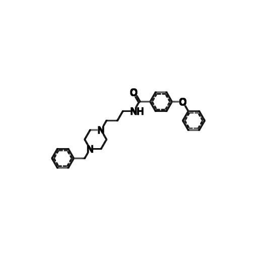 O=C(NCCCN1CCN(Cc2ccccc2)CC1)c1ccc(Oc2ccccc2)cc1